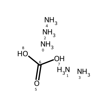 N.N.N.N.N.O=C(O)O